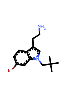 CC(C)(C)Cn1cc(CCN)c2ccc(Br)cc21